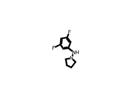 Fc1cc(F)cc(NN2CCCC2)c1